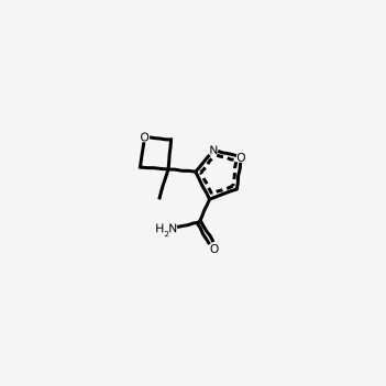 CC1(c2nocc2C(N)=O)COC1